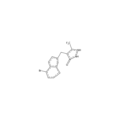 O=c1[nH][nH]c(C(F)(F)F)c1Cc1ccc2c(Br)cccc2c1